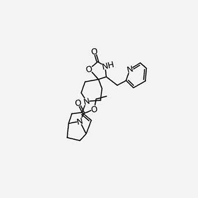 CCOC(=O)N1C2C=C(N3CCC4(CC3)OC(=O)NC4Cc3ccccn3)CC1CC2